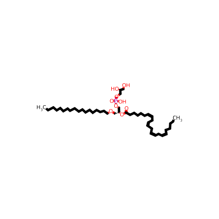 CCCCC/C=C\C/C=C\C/C=C\C/C=C\CCCCCC(=O)O[C@H](COCCCCCCCCCCCCCCCCCC)COP(=O)(O)OC[C@@H](O)CO